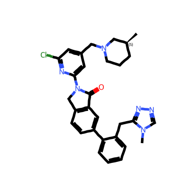 C[C@H]1CCCN(Cc2cc(Cl)nc(N3Cc4ccc(-c5ccccc5Cc5nncn5C)cc4C3=O)c2)C1